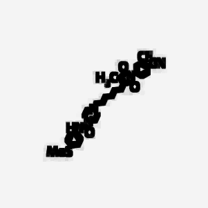 CSc1ccc(NC(=O)N2CCN(CCCCCCC3=C(C)C(=O)N(c4ccc(C#N)c(C(F)(F)F)c4)C3=O)CC2)cc1